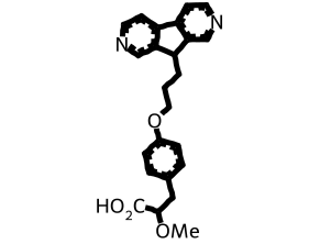 COC(Cc1ccc(OCCCC2c3cnccc3-c3ccncc32)cc1)C(=O)O